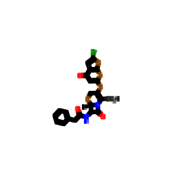 O=C(Cc1ccccc1)NC1C(=O)N2C(C(=O)O)=C(Sc3cc(=O)c4cc(Br)sc4s3)CS[C@@H]12